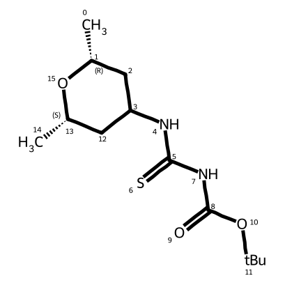 C[C@@H]1CC(NC(=S)NC(=O)OC(C)(C)C)C[C@H](C)O1